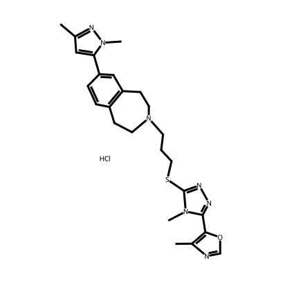 Cc1cc(-c2ccc3c(c2)CCN(CCCSc2nnc(-c4ocnc4C)n2C)CC3)n(C)n1.Cl